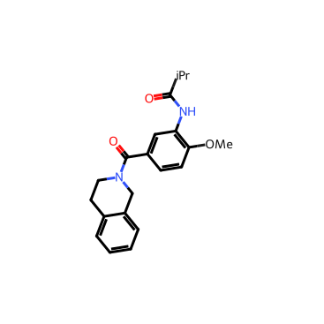 COc1ccc(C(=O)N2CCc3ccccc3C2)cc1NC(=O)C(C)C